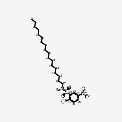 CCCCCCCCCCCCCCCCCCN(C)S(=O)(=O)c1cc([N+](=O)[O-])ccc1Cl